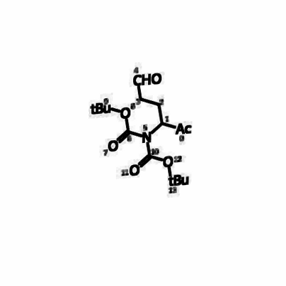 CC(=O)C(CCC=O)N(C(=O)OC(C)(C)C)C(=O)OC(C)(C)C